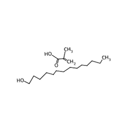 C=C(C)C(=O)O.CCCCCCCCCCCCCCO